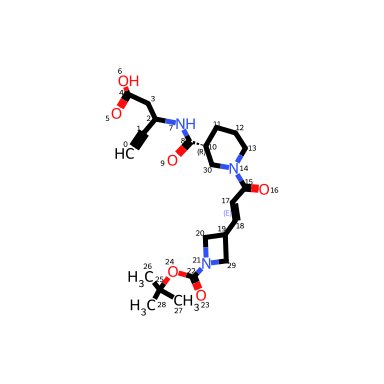 C#CC(CC(=O)O)NC(=O)[C@@H]1CCCN(C(=O)/C=C/C2CN(C(=O)OC(C)(C)C)C2)C1